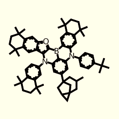 CC1CC2(c3cc4c5c(c3)N(c3ccc6c(c3)C(C)(C)CCC6(C)C)c3c(oc6cc7c(cc36)C(C)(C)CCC7(C)C)B5c3cc5c(cc3N4c3ccc(C(C)(C)C)cc3)C(C)(C)CCC5(C)C)CC3CC3(C1)C2